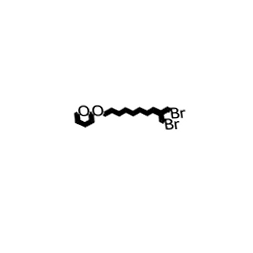 BrCC(=CCCCCCCCOC1CCCCO1)CBr